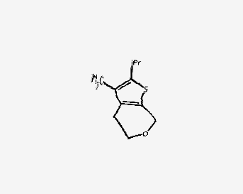 Cc1c(C(C)C)sc2c1CCOC2